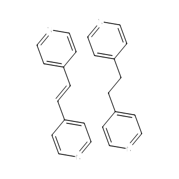 C(=Cc1ccncc1)c1ccncc1.c1cc(CCc2ccncc2)ccn1